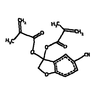 C=C(C)C(=O)OC1(OC(=O)C(=C)C)COc2ccc(C#N)cc21